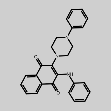 O=C1C(Nc2ccccc2)=C(N2CCN(c3ccccc3)CC2)C(=O)c2ccccc21